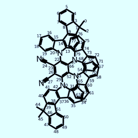 CC1(C)c2ccccc2-c2c1ccc1c2c2ccccc2n1-c1c(C#N)c(C#N)c(-n2c3ccccc3c3c4c(ccc32)C(C)(C)c2ccccc2-4)c(-n2c3ccccc3c3ccccc32)c1-n1c2ccccc2c2ccccc21